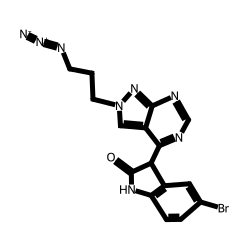 [N-]=[N+]=NCCCn1cc2c(C3C(=O)Nc4ccc(Br)cc43)ncnc2n1